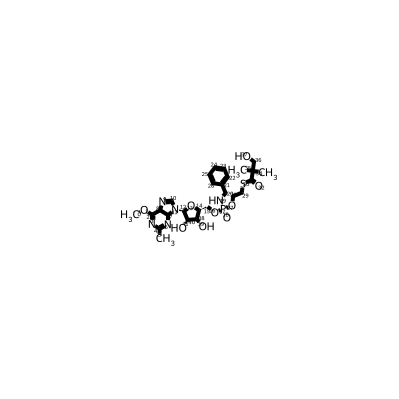 COC1=NC(C)=NC2C1N=CN2[C@@H]1O[C@H](COP(=O)(NCc2ccccc2)OCCSC(=O)C(C)(C)CO)C(O)[C@H]1O